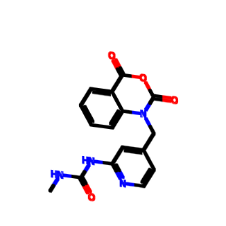 CNC(=O)Nc1cc(Cn2c(=O)oc(=O)c3ccccc32)ccn1